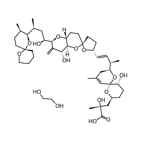 C=C1[C@@H](O)[C@@H]2O[C@]3(CC[C@H](/C=C/[C@@H](C)[C@@H]4CC(C)=C[C@@]5(O[C@H](C[C@@](C)(O)C(=O)O)CC[C@H]5O)O4)O3)CC[C@H]2O[C@@H]1[C@@H](O)C[C@H](C)[C@H]1O[C@@]2(CCCCO2)CC[C@H]1C.OCCO